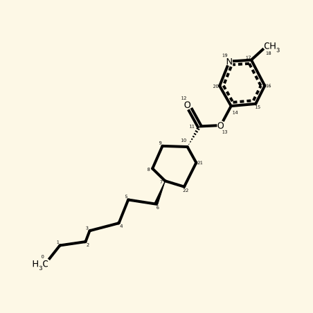 CCCCCCC[C@H]1CC[C@H](C(=O)Oc2ccc(C)nc2)CC1